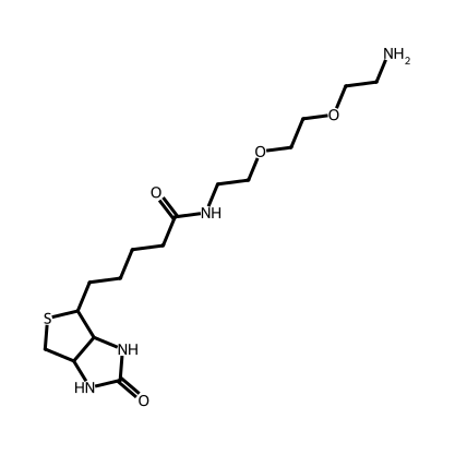 NCCOCCOCCNC(=O)CCCCC1SCC2NC(=O)NC21